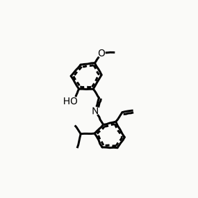 C=Cc1cccc(C(C)C)c1/N=C/c1cc(OC)ccc1O